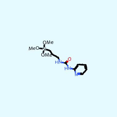 CO[Si](CCCNC(=O)Nc1ccccn1)(OC)OC